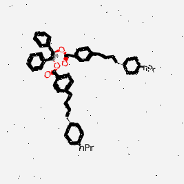 CCC[C@H]1CC[C@H](CCCCc2ccc(C(=O)O[C@H](c3ccccc3)[C@H](OC(=O)c3ccc(CCCC[C@H]4CC[C@H](CCC)CC4)cc3)c3ccccc3)cc2)CC1